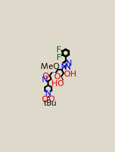 CO[C@@H]1[C@@H](n2cc(-c3cccc(F)c3F)nn2)[C@@H](O)[C@@H](CO)O[C@@H]1CC1CC(C2CCN(C(=O)OC(C)(C)C)CC2)=NO1